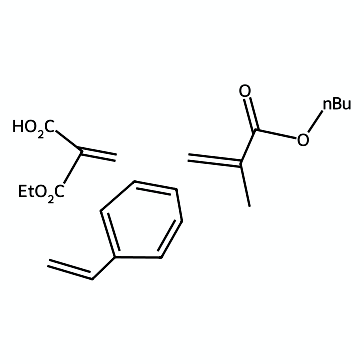 C=C(C(=O)O)C(=O)OCC.C=C(C)C(=O)OCCCC.C=Cc1ccccc1